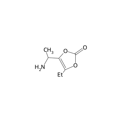 CCc1oc(=O)oc1C(C)N